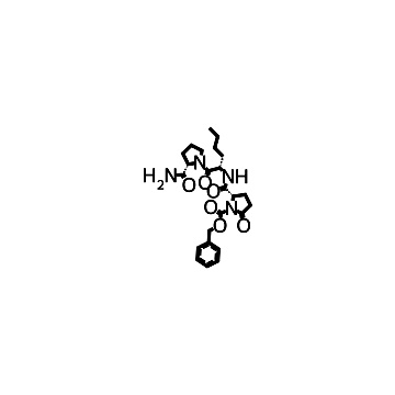 CCCC[C@H](NC(=O)[C@@H]1CCC(=O)N1C(=O)OCc1ccccc1)C(=O)N1CCC[C@H]1C(N)=O